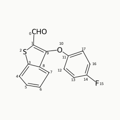 O=Cc1sc2ccccc2c1Oc1ccc(F)cc1